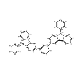 C1=CC(c2ccc3c(c2)c2ccccc2n3-c2ccccc2)=CC(c2ccc3c(c2)c2ccccc2n3-c2ccccc2)C1